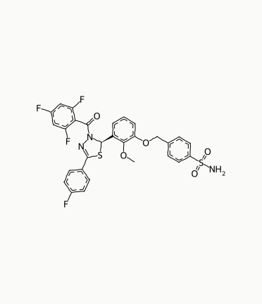 COc1c(OCc2ccc(S(N)(=O)=O)cc2)cccc1[C@H]1SC(c2ccc(F)cc2)=NN1C(=O)c1c(F)cc(F)cc1F